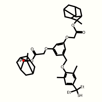 CCCC1C2CC3CC1CC(C2)C3(C)OC(=O)COc1cc(COc2c(C)cc(C(S)(CC)CC)cc2C)cc(OCC(=O)OC2(C)C3CC4CC(C3)CC2C4)c1